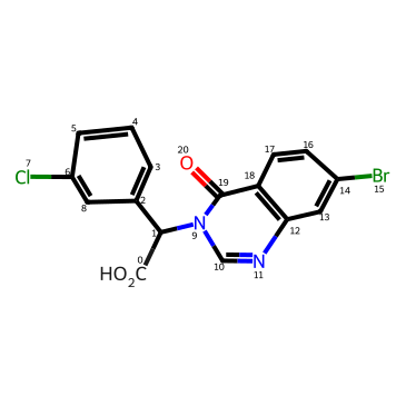 O=C(O)C(c1cccc(Cl)c1)n1cnc2cc(Br)ccc2c1=O